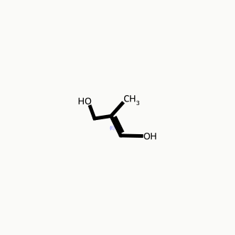 C/C(=C\O)CO